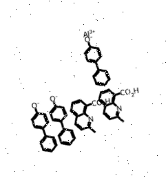 Cc1ccc2cccc(C(=O)O)c2n1.Cc1ccc2cccc(C(=O)O)c2n1.[Al+3].[O-]c1ccc(-c2ccccc2)cc1.[O-]c1ccc(-c2ccccc2)cc1.[O-]c1ccc(-c2ccccc2)cc1